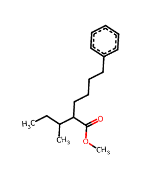 CCC(C)C(CCCCc1ccccc1)C(=O)OC